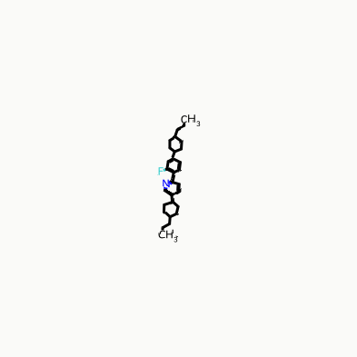 CCCC1CCC(c2ccc(-c3ccc(C4CCC(CCC)CC4)cc3F)nc2)CC1